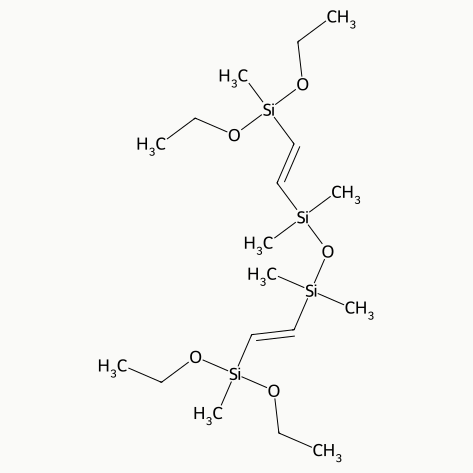 CCO[Si](C)(/C=C/[Si](C)(C)O[Si](C)(C)/C=C/[Si](C)(OCC)OCC)OCC